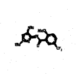 CCCCc1cn(C(C)(C)C)sc1=NC(=O)c1cc(C(F)(F)F)ccc1OC